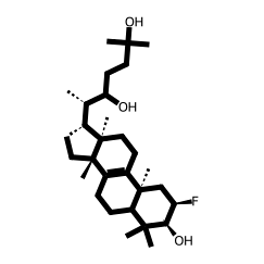 C[C@H](C(O)CCC(C)(C)O)[C@H]1CC[C@@]2(C)C3=C(CC[C@]12C)[C@@]1(C)C[C@@H](F)[C@@H](O)C(C)(C)C1CC3